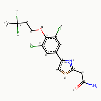 NC(=O)Cc1nc(-c2cc(Cl)c(OCCC(F)(F)C(F)(F)F)c(Cl)c2)cs1